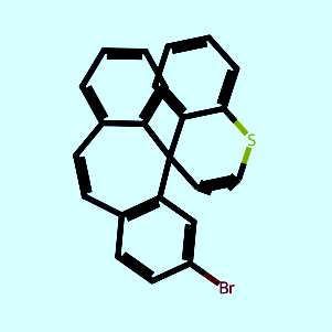 Brc1ccc2c(c1)C1(c3ccccc3C=C2)c2ccccc2Sc2ccccc21